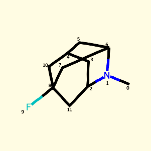 CN1C2CC3CC1CC(F)(C3)C2